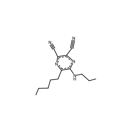 CCCCCc1nc(C#N)c(C#N)nc1NCCC